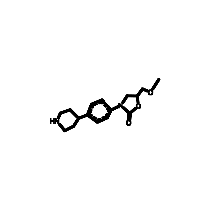 COCC1CN(c2ccc(C3CCNCC3)cc2)C(=O)O1